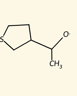 CC([O])C1CCSC1